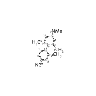 CNc1cc(C)c(-c2ccc(C#N)cc2C)c(C)c1